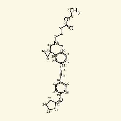 CCOC(=O)CCCN1Cc2ccc(C#Cc3ccc(OC4CCCC4)cc3)cc2C2(CC2)C1